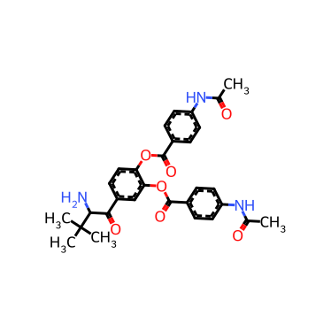 CC(=O)Nc1ccc(C(=O)Oc2ccc(C(=O)C(N)C(C)(C)C)cc2OC(=O)c2ccc(NC(C)=O)cc2)cc1